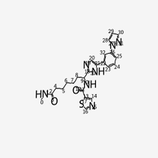 CNC(=O)CCCCCC(NC(=O)c1cncs1)c1ncc(-c2cccc(-n3cccn3)c2)[nH]1